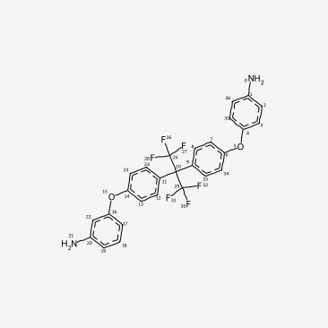 Nc1ccc(Oc2ccc(C(c3ccc(Oc4cccc(N)c4)cc3)(C(F)(F)F)C(F)(F)F)cc2)cc1